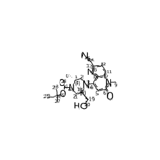 C[C@@H]1CN(c2cc(=O)n(C)c3ccc(C#N)nc23)[C@@H](CO)CN1C(=O)OC(C)(C)C